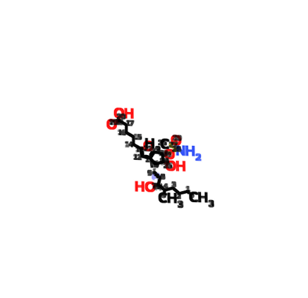 CCCCC(C)[C@H](O)/C=C/[C@@H]1c2cc(CCCCC(=O)O)oc2C[C@H]1O.CS(N)(=O)=O